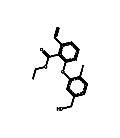 C=Cc1ccnc(Oc2cc(CO)ccc2F)c1C(=O)OCC